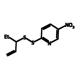 C=CC(CC)SSc1ccc([N+](=O)[O-])cn1